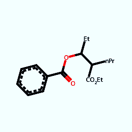 CCCC(C(=O)OCC)C(CC)OC(=O)c1ccccc1